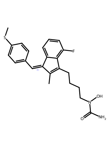 CSc1ccc(/C=C2/C(C)=C(CCCCN(O)C(N)=O)c3c(F)cccc32)cc1